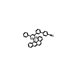 N#Cc1ccc(-c2cccc(/C(=C/C(N)c3ccccc3)NCc3c4ccccc4cc4ccc5ccccc5c34)c2)cc1